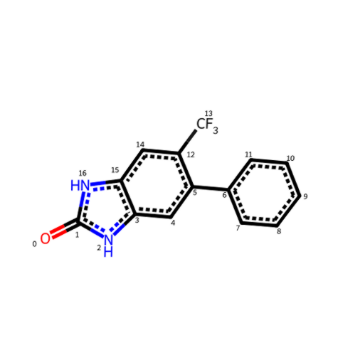 O=c1[nH]c2cc(-c3ccccc3)c(C(F)(F)F)cc2[nH]1